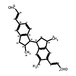 Cc1cc2c(cc1C=CC=O)C(C)CC2C1c2ccc(C=CC=O)cc2CC1C